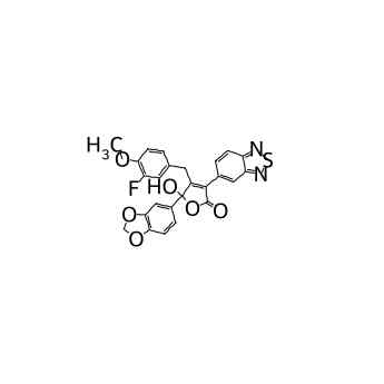 COc1ccc(CC2=C(c3ccc4nsnc4c3)C(=O)OC2(O)c2ccc3c(c2)OCO3)cc1F